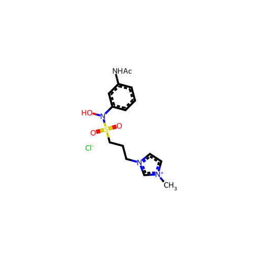 CC(=O)Nc1cccc(N(O)S(=O)(=O)CCCn2cc[n+](C)c2)c1.[Cl-]